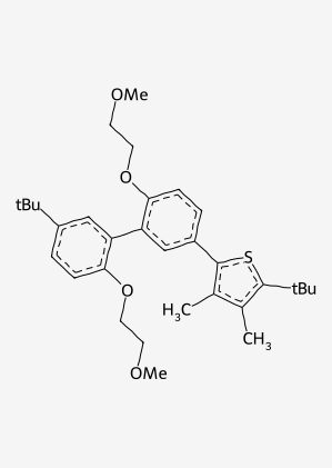 COCCOc1ccc(-c2sc(C(C)(C)C)c(C)c2C)cc1-c1cc(C(C)(C)C)ccc1OCCOC